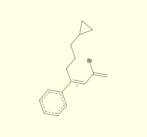 C=C(Br)/C=C(\CCCC1CC1)c1ccccc1